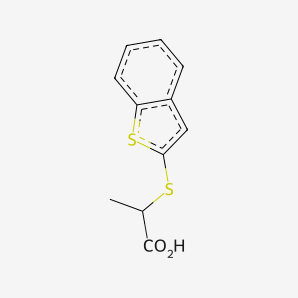 CC(Sc1cc2ccccc2s1)C(=O)O